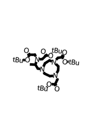 CC(CN1CCN(CC(=O)OC(C)(C)C)CCN(CC(=O)OC(C)(C)C)CC1)N(CC(=O)OC(C)(C)C)CC(=O)OC(C)(C)C